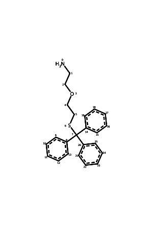 NCCOCCSC(c1ccccc1)(c1ccccc1)c1ccccc1